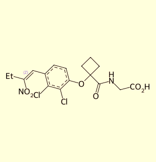 CC/C(=C/c1ccc(OC2(C(=O)NCC(=O)O)CCC2)c(Cl)c1Cl)[N+](=O)[O-]